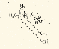 CCCCCCCCCCCCCCC(C)[S+](CC)C(C)CCCCCCCCCC.CCOS(=O)(=O)[O-]